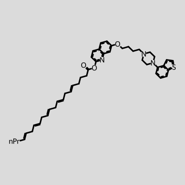 CCCC=CCC=CCC=CCC=CCC=CCCCC(=O)Oc1ccc2ccc(OCCCCN3CCN(c4cccc5sccc45)CC3)cc2n1